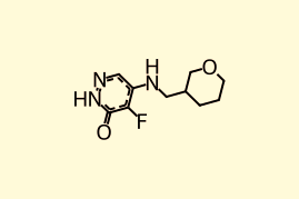 O=c1[nH]ncc(NCC2CCCOC2)c1F